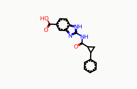 O=C(O)c1ccc2[nH]c(NC(=O)C3CC3c3ccccc3)nc2c1